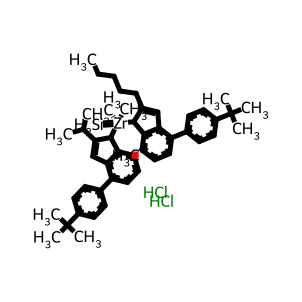 CCCCCC1=Cc2c(-c3ccc(C(C)(C)C)cc3)ccc(C)c2[CH]1[Zr]([CH3])([CH3])(=[SiH2])[CH]1C(C(C)C)=Cc2c(-c3ccc(C(C)(C)C)cc3)cccc21.Cl.Cl